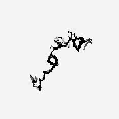 C=C(c1ccc(F)cc1)c1nc(COc2ccc(CCCCn3ccnn3)cc2)co1